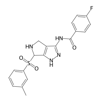 Cc1cccc(S(=O)(=O)C2NCc3c(NC(=O)c4ccc(F)cc4)n[nH]c32)c1